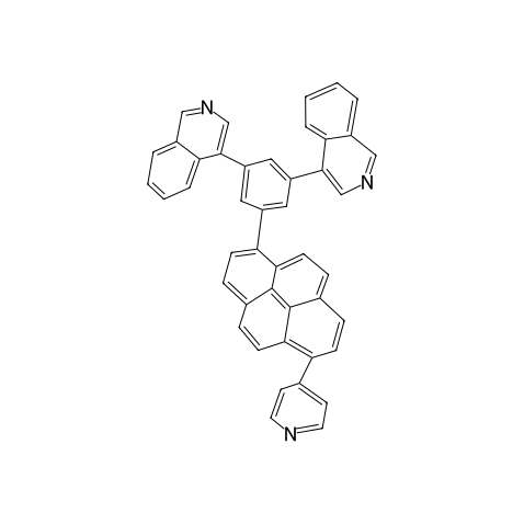 c1ccc2c(-c3cc(-c4cncc5ccccc45)cc(-c4ccc5ccc6c(-c7ccncc7)ccc7ccc4c5c76)c3)cncc2c1